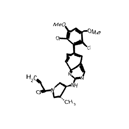 C=CC(=O)N1C[C@@H](C)[C@H](Nc2ncc3cc(-c4c(Cl)c(OC)cc(OC)c4Cl)ccc3n2)C1